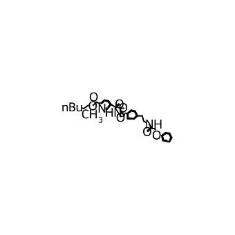 CCCCC(C)COC(=O)c1ccc(C(=O)NS(=O)(=O)c2ccc(CCNC(=O)COc3ccccc3)cc2)cn1